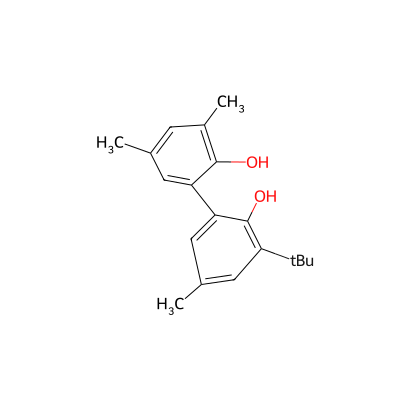 Cc1cc(C)c(O)c(-c2cc(C)cc(C(C)(C)C)c2O)c1